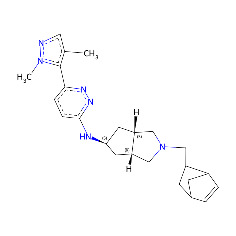 Cc1cnn(C)c1-c1ccc(N[C@H]2C[C@@H]3CN(CC4CC5C=CC4C5)C[C@@H]3C2)nn1